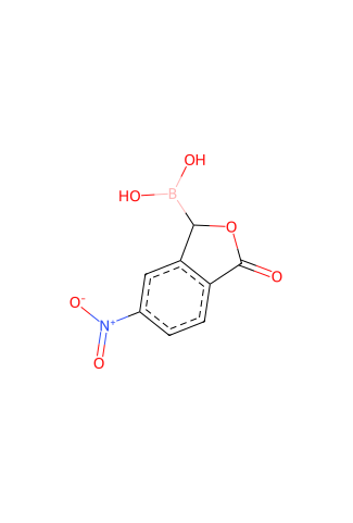 O=C1OC(B(O)O)c2cc([N+](=O)[O-])ccc21